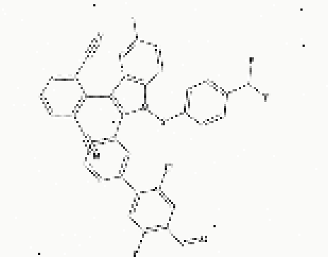 Cc1ccc2c(c1)c(-c1c(C#N)cccc1C#N)c(-c1cccc(-c3cc(F)c(C=O)cc3Cl)c1)n2Sc1ccc(C(F)F)cc1